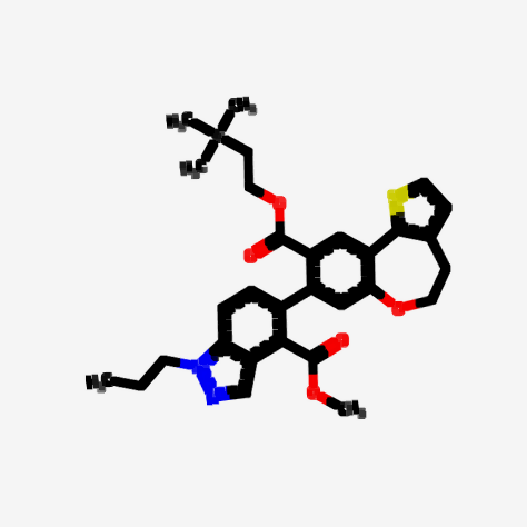 CCCn1ncc2c(C(=O)OC)c(-c3cc4c(cc3C(=O)OCC[Si](C)(C)C)-c3sccc3CCO4)ccc21